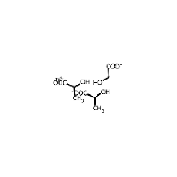 CC(O)C(=O)[O-].CC(O)C(=O)[O-].O=C([O-])CO.[Ti+3]